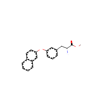 COC(=O)[C@@H](N)Cc1cccc(Oc2ccc3ccccc3c2)c1.Cl